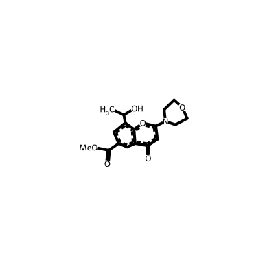 COC(=O)c1cc(C(C)O)c2oc(N3CCOCC3)cc(=O)c2c1